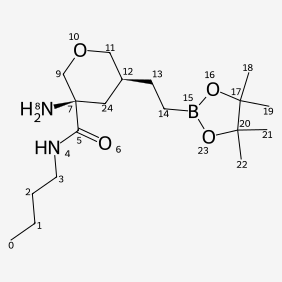 CCCCNC(=O)[C@]1(N)COC[C@@H](CCB2OC(C)(C)C(C)(C)O2)C1